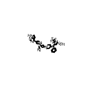 N#CC[C@]1(n2cc(-c3ncnc4[nH]ccc34)cn2)C[C@@H](N2CCC(N(c3ccccc3)c3cc(CO)nc(C(F)(F)F)n3)CC2)C1